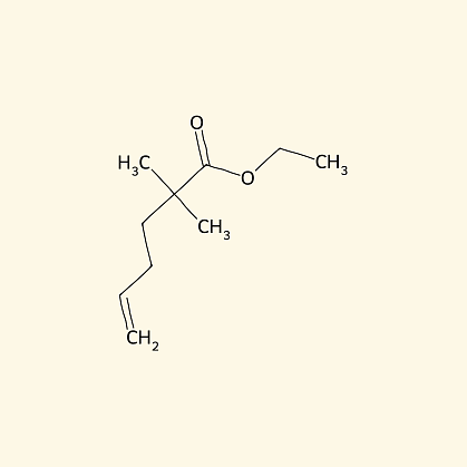 C=CCCC(C)(C)C(=O)OCC